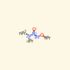 CCCN(C(C)C)[N+]([O-])=NOC(C)C